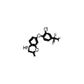 CC1CNc2ccc(Oc3ccc(C(F)(F)F)cc3Cl)cc2O1